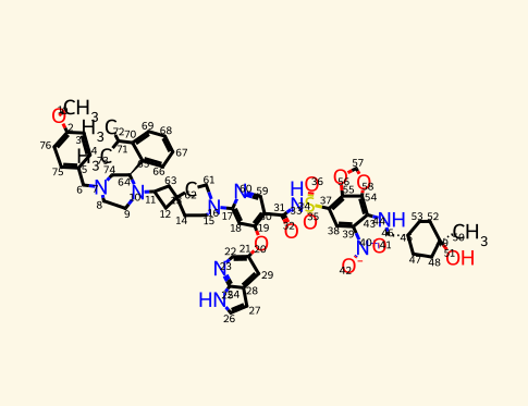 COc1ccc(CN2CCN(C3CC4(CCN(c5cc(Oc6cnc7[nH]ccc7c6)c(C(=O)NS(=O)(=O)c6cc([N+](=O)[O-])c(NC[C@H]7CC[C@](C)(O)CC7)c7c6OCO7)cn5)CC4)C3)[C@H](c3ccccc3C(C)C)C2)cc1